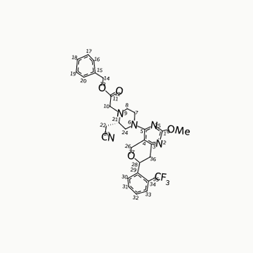 COc1nc2c(c(N3CCN(CC(=O)OCc4ccccc4)[C@@H](CC#N)C3)n1)COC(c1ccccc1C(F)(F)F)C2